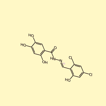 O=C(N/N=C/c1c(O)cc(Cl)cc1Cl)c1cc(O)c(O)cc1O